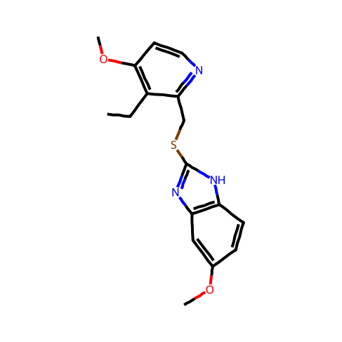 CCc1c(OC)ccnc1CSc1nc2cc(OC)ccc2[nH]1